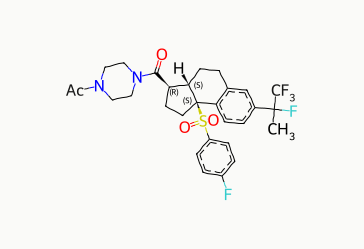 CC(=O)N1CCN(C(=O)[C@@H]2CC[C@@]3(S(=O)(=O)c4ccc(F)cc4)c4ccc(C(C)(F)C(F)(F)F)cc4CC[C@@H]23)CC1